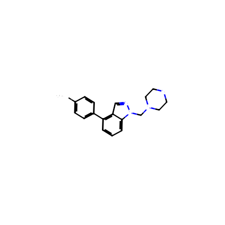 COc1ccc(-c2cccc3c2cnn3CN2CCNCC2)cc1